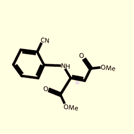 COC(=O)/C=C(\Nc1ccccc1C#N)C(=O)OC